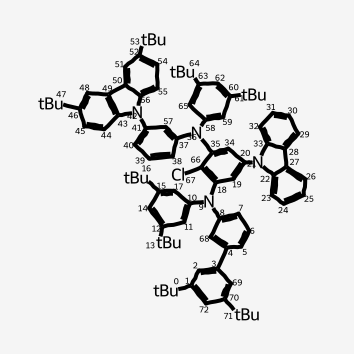 CC(C)(C)c1cc(-c2cccc(N(c3cc(C(C)(C)C)cc(C(C)(C)C)c3)c3cc(-n4c5ccccc5c5ccccc54)cc(N(c4cccc(-n5c6ccc(C(C)(C)C)cc6c6cc(C(C)(C)C)ccc65)c4)c4cc(C(C)(C)C)cc(C(C)(C)C)c4)c3Cl)c2)cc(C(C)(C)C)c1